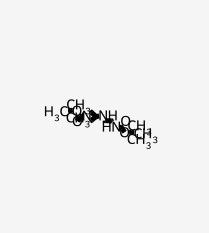 CC(C)(C)OC(=O)NCCNC1CN(C(=O)OC(C)(C)C)C1